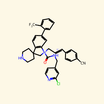 N#Cc1ccc(/C=C/C[N+]2(C(=O)NCc3ccnc(Cl)c3)CC3(CCNCC3)c3ccc(-c4ccccc4C(F)(F)F)cc32)cc1